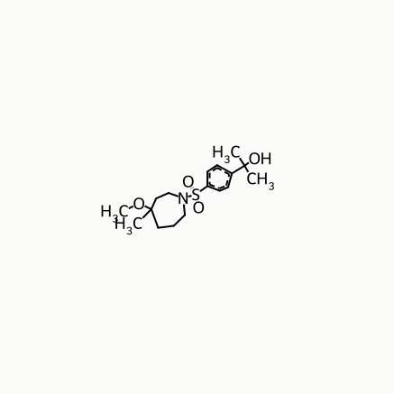 COC1(C)CCCN(S(=O)(=O)c2ccc(C(C)(C)O)cc2)CC1